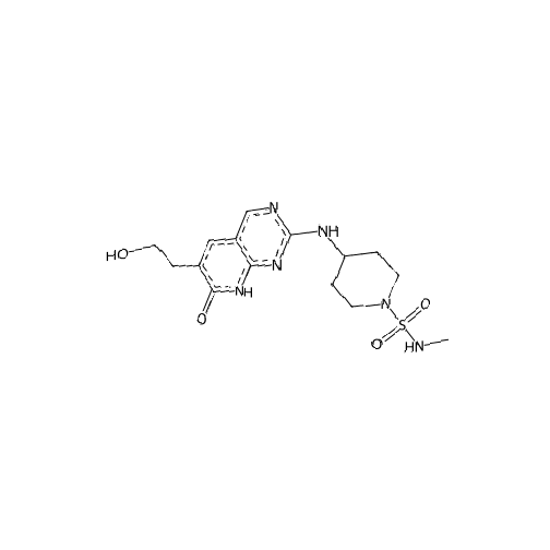 CNS(=O)(=O)N1CCC(Nc2ncc3cc(CCO)c(=O)[nH]c3n2)CC1